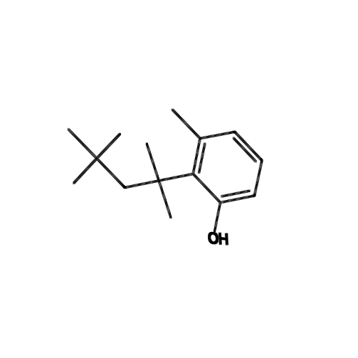 Cc1cccc(O)c1C(C)(C)CC(C)(C)C